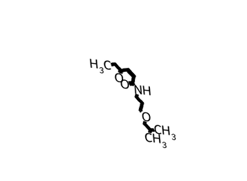 CCC(=O)/C=C\C(=O)NCCCOCC(C)C